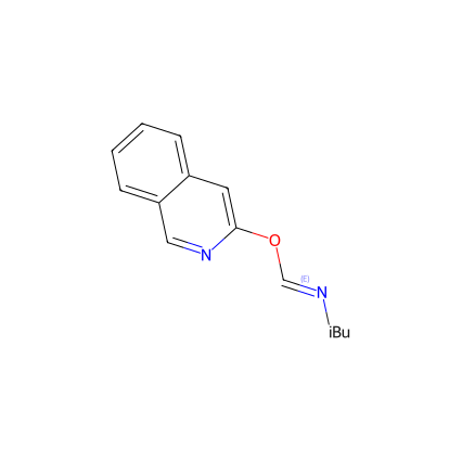 CCC(C)/N=C/Oc1cc2ccccc2cn1